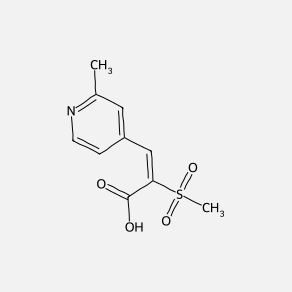 Cc1cc(/C=C(\C(=O)O)S(C)(=O)=O)ccn1